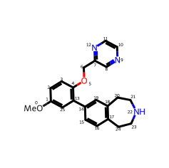 COc1ccc(OCc2cnccn2)c(-c2ccc3c(c2)CCNCC3)c1